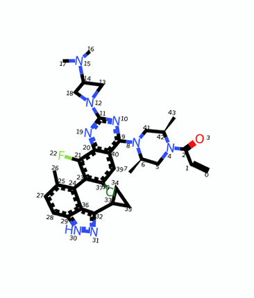 C=CC(=O)N1C[C@@H](C)N(c2nc(N3CC(N(C)C)C3)nc3c(F)c(-c4c(C)ccc5[nH]nc(C6CC6)c45)c(Cl)cc23)C[C@H]1C